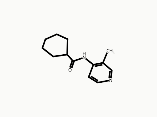 Cc1cnccc1NC(=O)C1CCCCC1